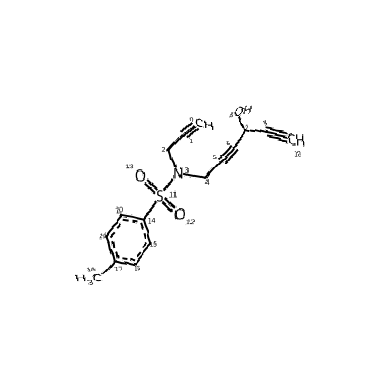 C#CCN(CC#CC(O)C#C)S(=O)(=O)c1ccc(C)cc1